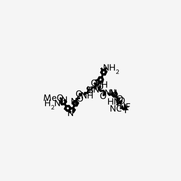 COc1ncc(-c2ccc3nccc(-c4ccc(COC(=O)NCCSSCC(NC(=O)CCC(=O)NCc5cc(C(=O)NC(C)C(=O)N6CC(F)(F)C[C@H]6C#N)ccn5)C(=O)Nc5ccc(-c6ccc(N)c(C)c6)cc5C)nc4)c3c2)cc1N